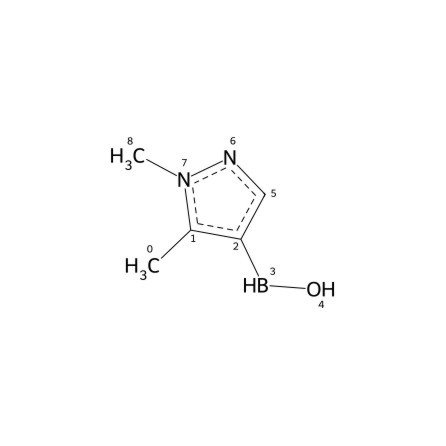 Cc1c(BO)cnn1C